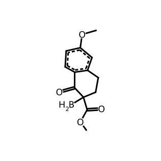 BC1(C(=O)OC)CCc2cc(OC)ccc2C1=O